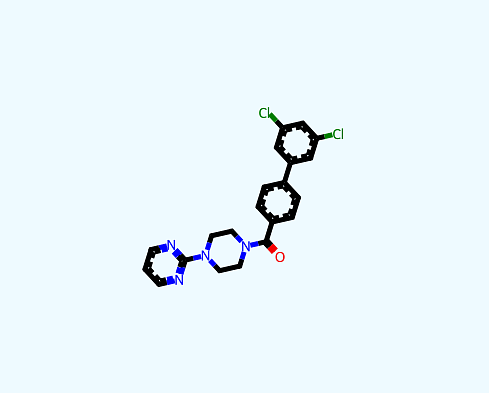 O=C(c1ccc(-c2cc(Cl)cc(Cl)c2)cc1)N1CCN(c2ncccn2)CC1